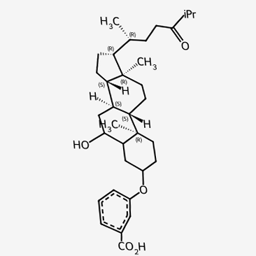 CC(C)C(=O)CC[C@@H](C)[C@H]1CC[C@H]2[C@@H]3CC(O)C4CC(Oc5cccc(C(=O)O)c5)CC[C@]4(C)[C@H]3CC[C@]12C